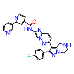 O=C(Nc1cn2nc(-c3c(-c4ccc(F)cc4)nn4c3CNCC4)ccc2n1)c1ccnc(-c2cccnc2)c1